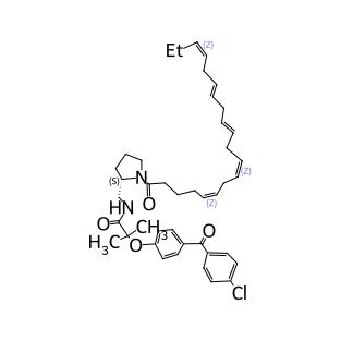 CC/C=C\CC=CCC=CC/C=C\C/C=C\CCCC(=O)N1CCC[C@H]1CNC(=O)C(C)(C)Oc1ccc(C(=O)c2ccc(Cl)cc2)cc1